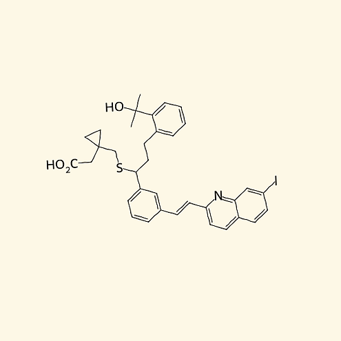 CC(C)(O)c1ccccc1CCC(SCC1(CC(=O)O)CC1)c1cccc(/C=C/c2ccc3ccc(I)cc3n2)c1